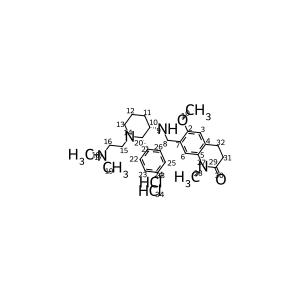 COc1cc2c(cc1CN[C@H]1CCCN(CCN(C)C)[C@H]1c1ccccc1)N(C)C(=O)CC2.Cl.Cl